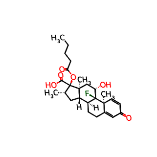 CCCCC(=O)O[C@]1(C(=O)O)[C@@H](C)C[C@H]2[C@@H]3CCC4=CC(=O)C=C[C@]4(C)[C@@]3(F)[C@@H](O)C[C@@]21C